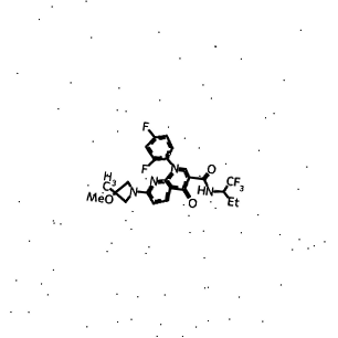 CCC(NC(=O)c1cn(-c2ccc(F)cc2F)c2nc(N3CC(C)(OC)C3)ccc2c1=O)C(F)(F)F